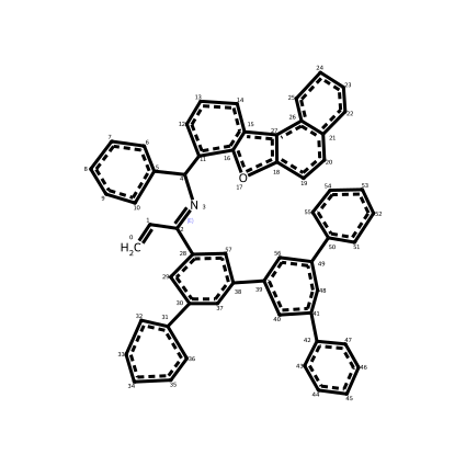 C=C/C(=N\C(c1ccccc1)c1cccc2c1oc1ccc3ccccc3c12)c1cc(-c2ccccc2)cc(-c2cc(-c3ccccc3)cc(-c3ccccc3)c2)c1